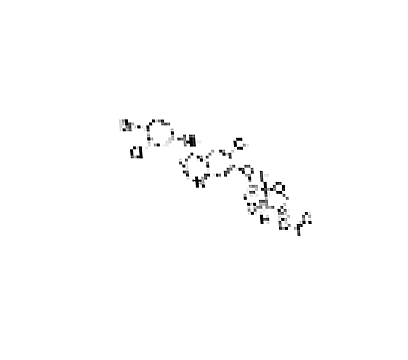 COc1cc2c(Nc3ccc(Br)c(Cl)c3)ncnc2cc1O[C@@H]1CO[C@@H]2[C@H]1OC[C@H]2OC(C)=O